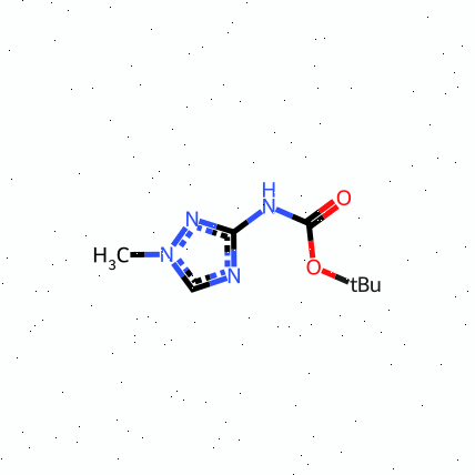 Cn1cnc(NC(=O)OC(C)(C)C)n1